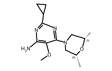 COc1c(N)nc(C2CC2)nc1N1C[C@@H](C)O[C@@H](C)C1